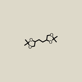 CC1(C)OCC(CCC2COC(C)(C)O2)O1